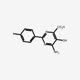 Nc1nc(-c2ccc(I)cc2)nc(C(=O)O)c1O